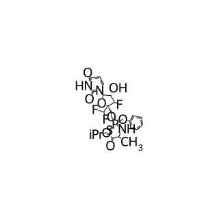 CC(C)OC(=O)[C@H](C)NP(=S)(OC[C@@]1(C(F)F)O[C@@H](n2ccc(=O)[nH]c2=O)[C@H](O)[C@H]1F)Oc1ccccc1